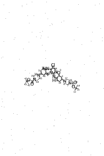 COc1cc(N2CCN(C(=O)OC(C)(C)C)CC2)ccc1Nc1ncc(Cl)c(Nc2ccc(N3CCN(C(=O)OC(C)(C)C)CC3)cc2F)n1